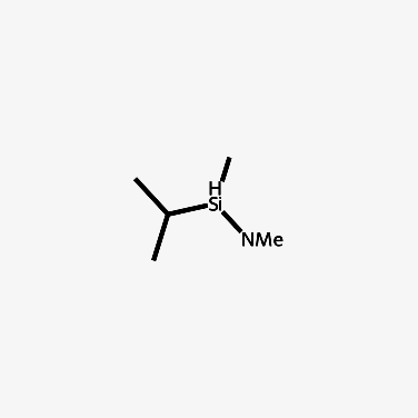 CN[SiH](C)C(C)C